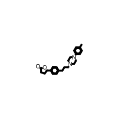 Cc1ccc(N2CCN(CCCc3ccc(C4CCC(=O)O4)cc3)CC2)cc1